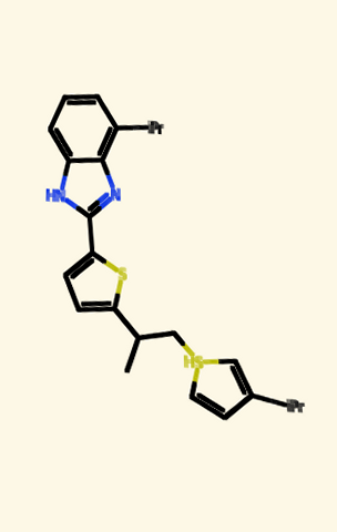 CC(C)C1=C[SH](CC(C)c2ccc(-c3nc4c(C(C)C)cccc4[nH]3)s2)C=C1